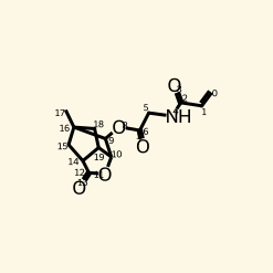 C=CC(=O)NCC(=O)OC1C2OC(=O)C3CC1(C)CC32